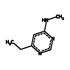 CCc1cc(NC)ncn1